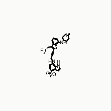 CN1CCC(Nc2cccc3c(CC(F)(F)F)c(C#CCNc4ccc(S(C)(=O)=O)c5cc[nH]c45)sc23)CC1